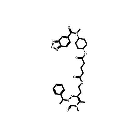 C/C(=C(\CCOC(=O)CCCC(=O)O[C@H]1CC[C@H](N(C)C(=O)c2ccc3nonc3c2)CC1)SSC(C)c1ccccc1)N(C)C=O